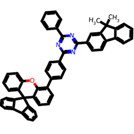 CC1(C)c2ccccc2-c2ccc(-c3nc(-c4ccccc4)nc(-c4ccc(-c5cccc6c5Oc5ccccc5C65c6ccccc6-c6ccccc65)cc4)n3)cc21